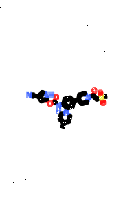 CC1CCN(c2cc(C3CCN(C(=O)CS(C)(=O)=O)CC3)ccc2NC(=O)Oc2cc(C#N)c[nH]2)CC1